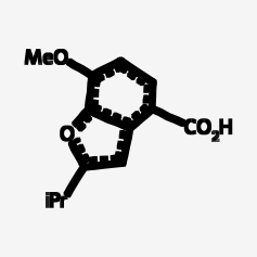 COc1ccc(C(=O)O)c2cc(C(C)C)oc12